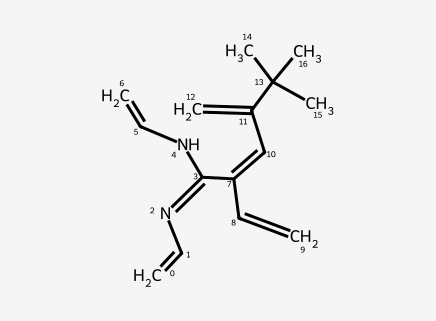 C=C/N=C(NC=C)\C(C=C)=C/C(=C)C(C)(C)C